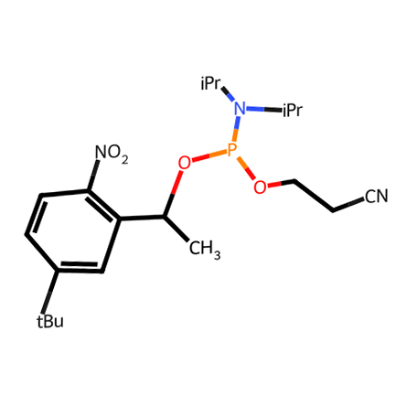 CC(OP(OCCC#N)N(C(C)C)C(C)C)c1cc(C(C)(C)C)ccc1[N+](=O)[O-]